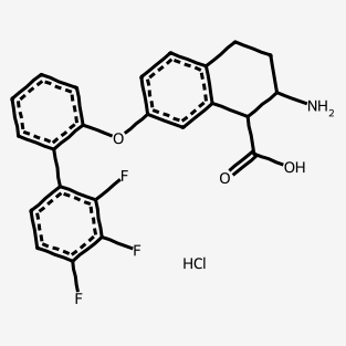 Cl.NC1CCc2ccc(Oc3ccccc3-c3ccc(F)c(F)c3F)cc2C1C(=O)O